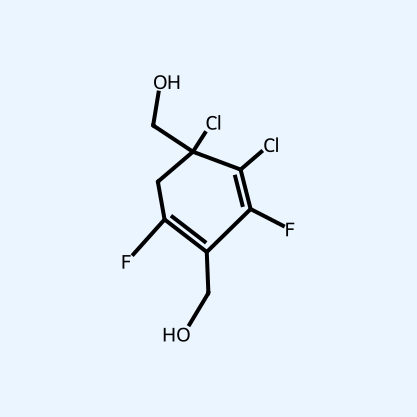 OCC1=C(F)CC(Cl)(CO)C(Cl)=C1F